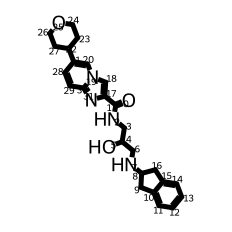 O=C(NCC(O)CNC1Cc2ccccc2C1)c1cn2cc(C3CCOCC3)ccc2n1